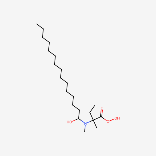 CCCCCCCCCCCCCCC(O)N(C)C(C)(CC)C(=O)OO